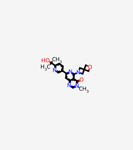 Cn1cnc2cc(-c3ccc(C(C)(C)O)nc3)nc(N3CC4(COC4)C3)c2c1=O